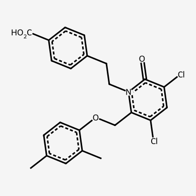 Cc1ccc(OCc2c(Cl)cc(Cl)c(=O)n2CCc2ccc(C(=O)O)cc2)c(C)c1